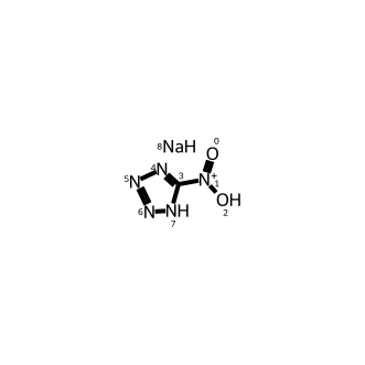 O=[N+](O)c1nnn[nH]1.[NaH]